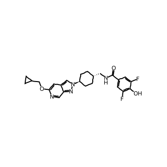 O=C(NC[C@H]1CC[C@H](n2cc3cc(OCC4CC4)ncc3n2)CC1)c1cc(F)c(O)c(F)c1